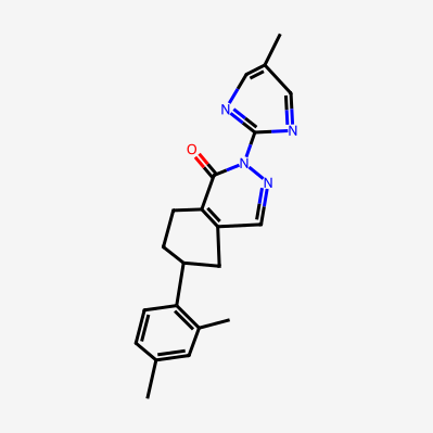 Cc1cnc(-n2ncc3c(c2=O)CCC(c2ccc(C)cc2C)C3)nc1